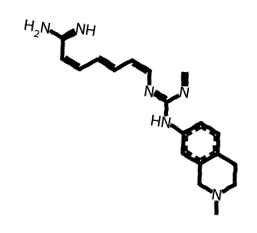 C=N\C(=N/C=C\C=C\C=C/C(=N)N)Nc1ccc2c(c1)CN(C)CC2